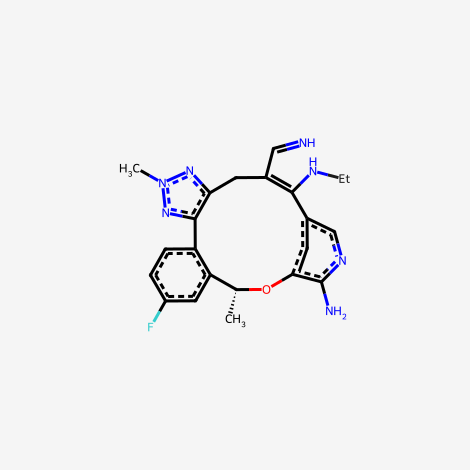 CCN/C1=C(\C=N)Cc2nn(C)nc2-c2ccc(F)cc2[C@@H](C)Oc2cc1cnc2N